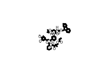 C=CC(=O)OCC(C)(C)C(=O)C(=O)N1CCCCC1C(=O)O[C@H](CCc1ccc(OC)c(OC)c1)c1cccc(NC(=O)C(CC(=O)OC(C)(C)C)NC(=O)OCC2c3ccccc3-c3ccccc32)c1